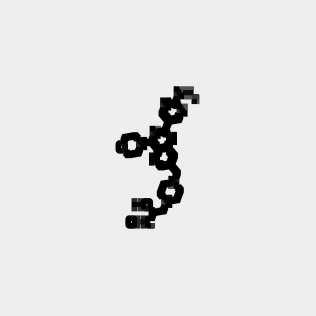 Nc1ncc(-c2nc(N3CCOCC3)c3ncc(CN4CCN(CC(O)C=O)CC4)cc3n2)cn1